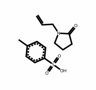 C=CCN1CCCC1=O.Cc1ccc(S(=O)(=O)O)cc1